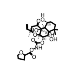 C=C[C@@]1(C)CC(=O)[C@]2(O)[C@@]3(C)[C@@H](O)CCC(C)(C)[C@@H]3[C@H](O)[C@H](OC(=O)NOC(=O)C3CCCO3)[C@@]2(C)O1